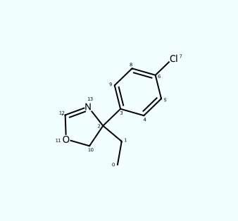 CCC1(c2ccc(Cl)cc2)CO[C]=N1